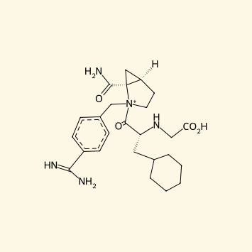 N=C(N)c1ccc(C[N+]2(C(=O)[C@@H](CC3CCCCC3)NCC(=O)O)CC[C@@H]3C[C@@]32C(N)=O)cc1